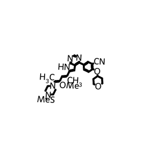 COC(/C=C(\C)c1cc2c(-c3ccc(OC4CCOCC4)c(C#N)c3)ncnc2[nH]1)=C(/C)N1CCN(SC)CC1